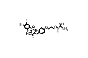 N=C(N)NOCCCOc1ccc(C[C@H](NS(=O)(=O)c2cc(F)c(Br)cc2F)C(=O)O)cc1